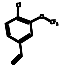 C=Cc1ccc(Cl)c(OC(F)(F)F)c1